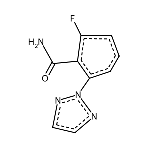 NC(=O)c1c(F)cccc1-n1nccn1